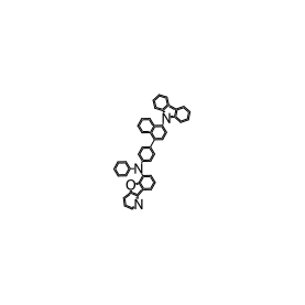 c1ccc(N(c2ccc(-c3ccc(-n4c5ccccc5c5ccccc54)c4ccccc34)cc2)c2cccc3c2oc2cccnc23)cc1